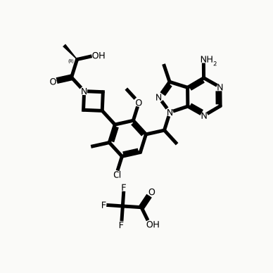 COc1c(C(C)n2nc(C)c3c(N)ncnc32)cc(Cl)c(C)c1C1CN(C(=O)[C@@H](C)O)C1.O=C(O)C(F)(F)F